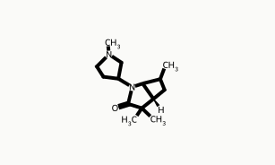 CC1C[C@H]2C1N(C1CCN(C)C1)C(=O)C2(C)C